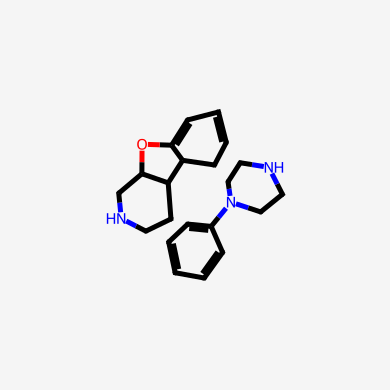 C1=CCC2C(=C1)OC1CNCCC12.c1ccc(N2CCNCC2)cc1